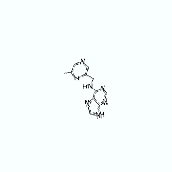 Cc1cncc(CNc2ncnc3[nH]cnc23)n1